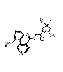 CC(C)c1ccccc1-c1cnccc1C(=O)NCC(=O)N1CC(F)(F)C[C@H]1C#N